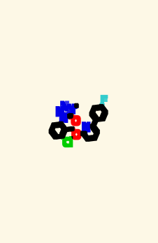 Cn1nnn(-c2cccc(Cl)c2COc2cccc(-c3ccc(F)cc3)n2)c1=O